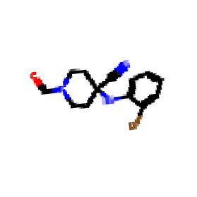 N#CC1(Nc2ccccc2Br)CCN([C]=O)CC1